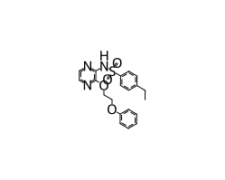 CCc1ccc(S(=O)(=O)Nc2nccnc2OCCOc2ccccc2)cc1